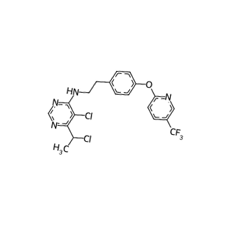 CC(Cl)c1ncnc(NCCc2ccc(Oc3ccc(C(F)(F)F)cn3)cc2)c1Cl